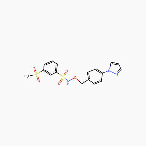 CS(=O)(=O)c1cccc(S(=O)(=O)NOCc2ccc(-n3cccn3)cc2)c1